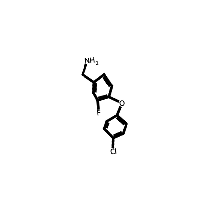 NCc1ccc(Oc2ccc(Cl)cc2)c(F)c1